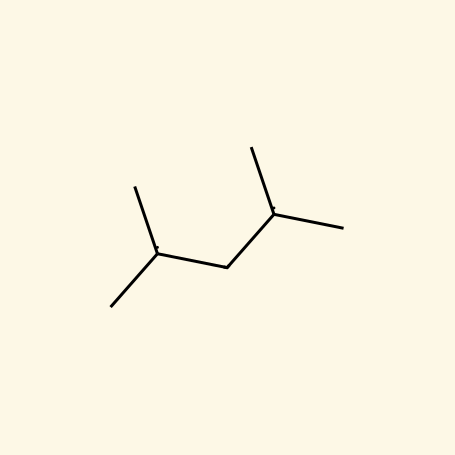 C[C](C)C[C](C)C